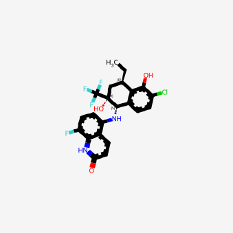 CC[C@@H]1C[C@](O)(C(F)(F)F)[C@@H](Nc2ccc(F)c3[nH]c(=O)ccc23)c2ccc(Cl)c(O)c21